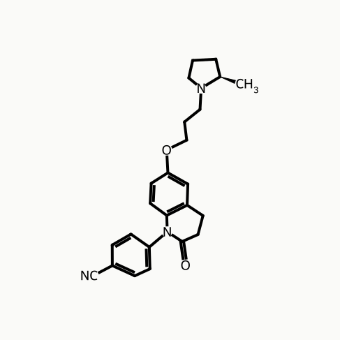 C[C@@H]1CCCN1CCCOc1ccc2c(c1)CCC(=O)N2c1ccc(C#N)cc1